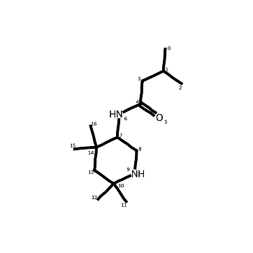 CC(C)CC(=O)NC1CNC(C)(C)CC1(C)C